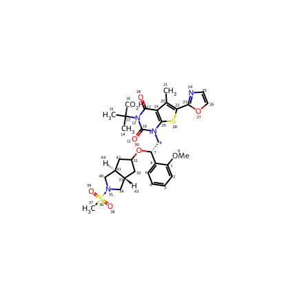 COc1ccccc1[C@@H](Cn1c(=O)n(C(C)(C)C(=O)O)c(=O)c2c(C)c(-c3ncco3)sc21)OC1C[C@@H]2CN(S(C)(=O)=O)C[C@H]2C1